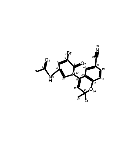 CC(=O)Nc1cc(Br)c(=O)n(C2=CC(C)(C)Oc3ccc(C#N)cc32)c1